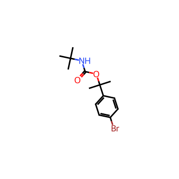 CC(C)(C)NC(=O)OC(C)(C)c1ccc(Br)cc1